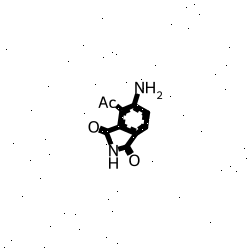 CC(=O)c1c(N)ccc2c1C(=O)NC2=O